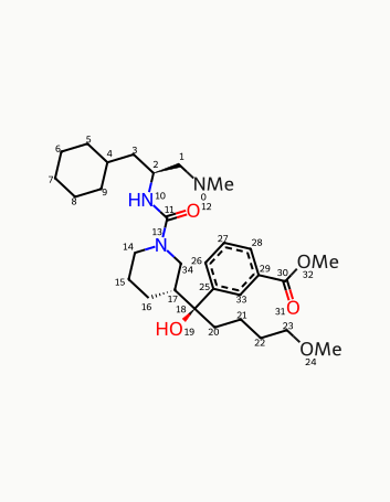 CNC[C@H](CC1CCCCC1)NC(=O)N1CCC[C@@H]([C@@](O)(CCCCOC)c2cccc(C(=O)OC)c2)C1